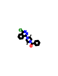 C[C@@H]1CN(c2nnc(Cl)c3ccccc23)[C@H](C)CN1C(=O)c1ccccc1